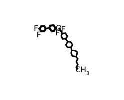 CCCCCC1CCC(C2CCC(C3CCC(C(F)(F)Oc4ccc(-c5ccc(F)c(F)c5)cc4)CC3)CC2)CC1